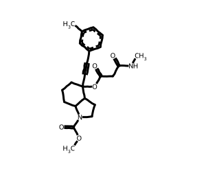 CNC(=O)CC(=O)OC1(C#Cc2cccc(C)c2)CCCC2C1CCN2C(=O)OC